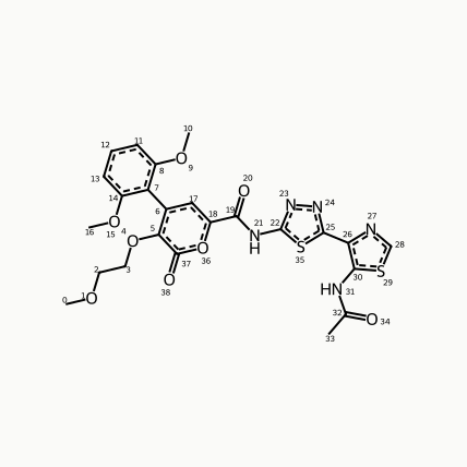 COCCOc1c(-c2c(OC)cccc2OC)cc(C(=O)Nc2nnc(-c3ncsc3NC(C)=O)s2)oc1=O